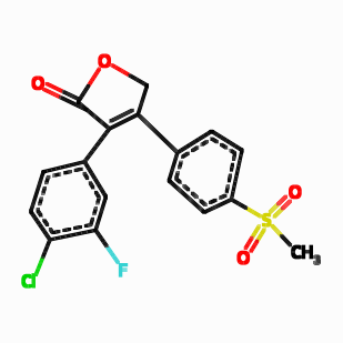 CS(=O)(=O)c1ccc(C2=C(c3ccc(Cl)c(F)c3)C(=O)OC2)cc1